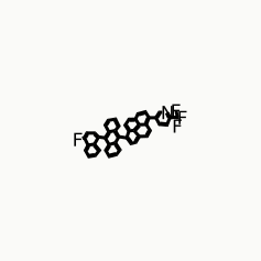 Fc1ccc(-c2c3ccccc3c(-c3ccc4ccc5c(-c6ccc(C(F)(F)F)nc6)ccc6ccc3c4c65)c3ccccc23)c2ccccc12